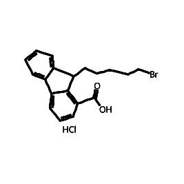 Cl.O=C(O)c1cccc2c1C(CCCCCBr)c1ccccc1-2